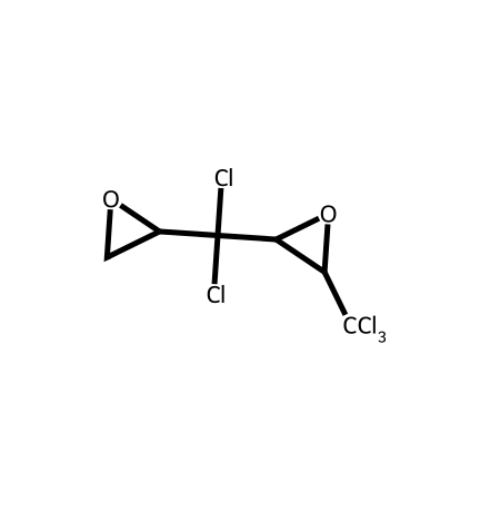 ClC(Cl)(Cl)C1OC1C(Cl)(Cl)C1CO1